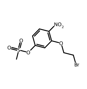 CS(=O)(=O)Oc1ccc([N+](=O)[O-])c(OCCBr)c1